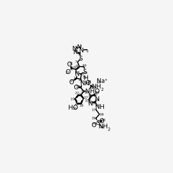 Cn1nnnc1SCC1=C(C(=O)[O-])N2C(=O)C(NC(=O)C(c3ccc(O)cc3)N(C(N)=O)c3cnc(NCCCS(N)(=O)=O)nc3O)[C@@H]2SC1.[Na+]